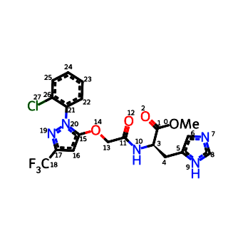 COC(=O)[C@@H](Cc1cnc[nH]1)NC(=O)COc1cc(C(F)(F)F)nn1-c1ccccc1Cl